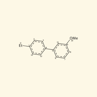 CCc1ccc(-c2[c]ccc(OC)c2)cc1